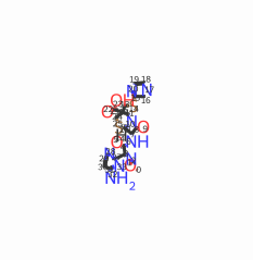 CON=C(C(=O)NC1C(=O)N2CC(CSc3cnccn3)(C(=O)O)CS[C@H]12)c1nccc(N)n1